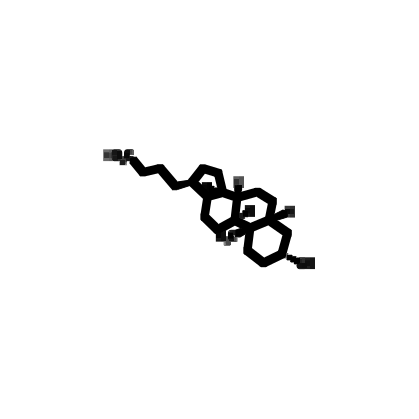 C[C@]12CC[C@@H](O)C[C@H]1CC[C@H]1[C@@H]3CC[C@H](CCCC(=O)O)C3CC[C@@H]12